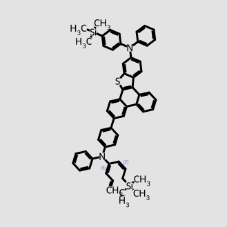 C=C/C=C(\C=C/C[Si](C)(C)C)N(c1ccccc1)c1ccc(-c2ccc3c(c2)c2ccccc2c2c4ccc(N(c5ccccc5)c5ccc([Si](C)(C)C)cc5)cc4sc32)cc1